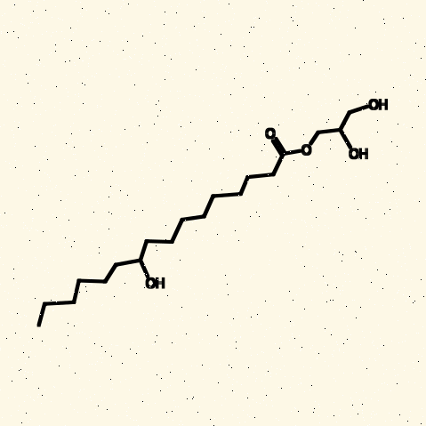 CCCCCCC(O)CCCCCCCCC(=O)OCC(O)CO